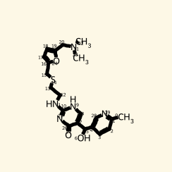 Cc1ccc(C(O)c2c[nH]c(NCCSCc3ccc(CN(C)C)o3)nc2=O)cn1